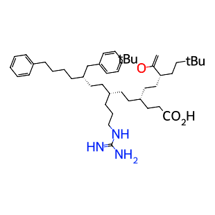 C=C(OC(C)(C)C)[C@@H](CC[C@H](CCC(=O)O)CC[C@H](CCCNC(=N)N)CC[C@H](CCCCc1ccccc1)Cc1ccccc1)CCC(C)(C)C